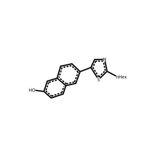 CCCCCCc1ncc(-c2ccc3cc(O)ccc3c2)s1